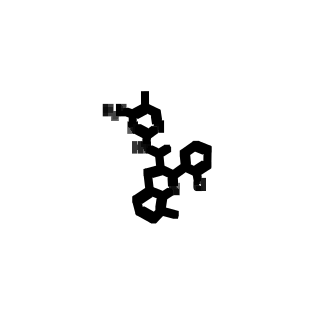 Cc1cnc(NC(C)c2cc3cccc(C)c3nc2-c2ccccc2Cl)nc1N